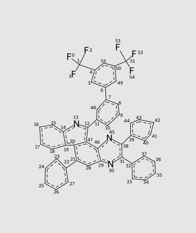 FC(F)(F)c1cc(-c2cccc(-c3nc4ccccc4c4c(-c5ccccc5)cc5nc(-c6ccccc6)c(-c6ccccc6)nc5c34)c2)cc(C(F)(F)F)c1